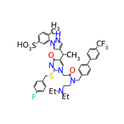 CCN(CC)CCN(Cc1ccc(-c2ccc(C(F)(F)F)cc2)cc1)C(=O)Cn1cc(C(C)c2cn[nH]c2)c(=O)nc1SCc1ccc(F)cc1.Cc1ccc(S(=O)(=O)O)cc1